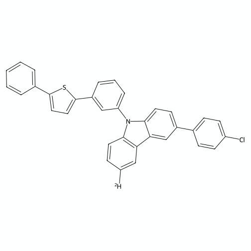 [2H]c1ccc2c(c1)c1cc(-c3ccc(Cl)cc3)ccc1n2-c1cccc(-c2ccc(-c3ccccc3)s2)c1